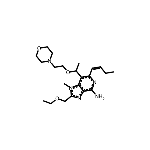 CC/C=C\c1nc(N)c2nc(COCC)n(C)c2c1C(C)OCCN1CCOCC1